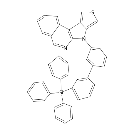 c1ccc([Si](c2ccccc2)(c2ccccc2)c2cccc(-c3cccc(-n4c5cscc5c5c6ccccc6cnc54)c3)c2)cc1